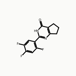 O=c1[nH]c(-c2cc(F)c(F)cc2F)nc2c1CCC2